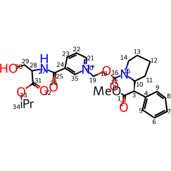 COC(=O)[C@H](c1ccccc1)C1CCCCN1C(=O)OC[n+]1cccc(C(=O)NC(CO)C(=O)OC(C)C)c1